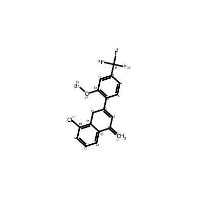 C=C1C=C(c2ccc(C(F)(F)F)cc2OBr)Cc2c(Cl)cccc21